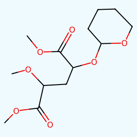 COC(=O)C(CC(OC1CCCCO1)C(=O)OC)OC